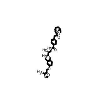 Cc1ncoc1COc1ccc2c(c1)CN[C@H]([C@H](O)CNC(=O)c1ccc(CC(=O)N3CC4CCC3COC4)cc1)C2